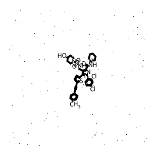 Cc1ccc(C#Cc2ccc(-c3c(CNS(=O)(=O)N4CCC(O)CC4)c(C(=O)NN4CCCCC4)nn3-c3ccc(Cl)cc3Cl)s2)cc1